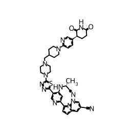 C[C@H](C#N)Nc1cc(-c2ccc3cc(C#N)cnn23)ncc1-c1nnc(N2CCN(CC3CCN(c4ccc([C@@H]5CCC(=O)NC5=O)cn4)CC3)CC2)s1